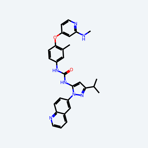 CNc1cc(Oc2ccc(NC(=O)Nc3cc(C(C)C)nn3-c3ccc4ncccc4c3)cc2C)ccn1